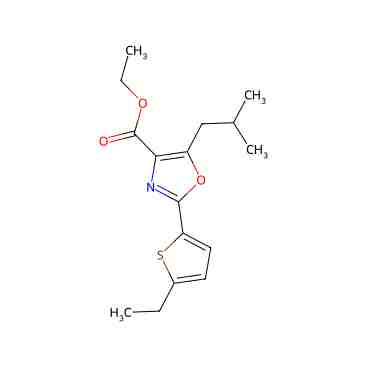 CCOC(=O)c1nc(-c2ccc(CC)s2)oc1CC(C)C